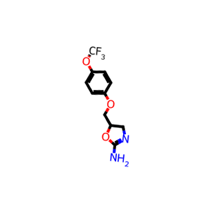 NC1=NCC(COc2ccc(OC(F)(F)F)cc2)O1